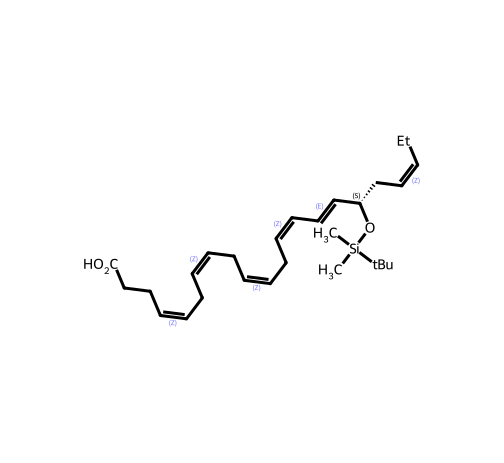 CC/C=C\C[C@@H](/C=C/C=C\C/C=C\C/C=C\C/C=C\CCC(=O)O)O[Si](C)(C)C(C)(C)C